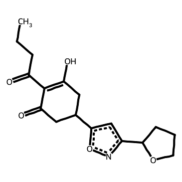 CCCC(=O)C1=C(O)CC(c2cc(C3CCCO3)no2)CC1=O